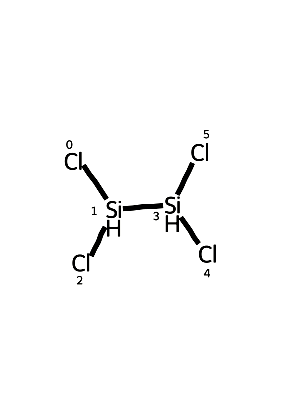 Cl[SiH](Cl)[SiH](Cl)Cl